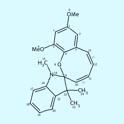 COc1cc2c(c(OC)c1)OC1(/C=C\C=C/2)N(C)c2ccccc2C1(C)C